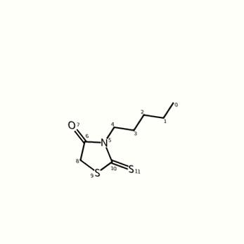 CCCCCN1C(=O)CSC1=S